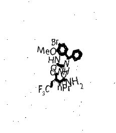 CCC[C@H](C(N)=O)[C@@H](CCC(F)(F)F)C(=O)N[C@H]1N=C(c2ccccc2)c2ccc(Br)c(OC)c2NC1=O